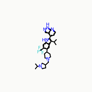 CC(C)c1c(-c2ccnc3[nH]ncc23)[nH]c2cc(C(F)(F)F)c(C3CCN(CC4CCN(C(C)C)C4)CC3)cc12